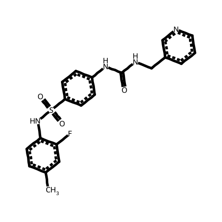 Cc1ccc(NS(=O)(=O)c2ccc(NC(=O)NCc3cccnc3)cc2)c(F)c1